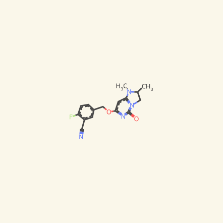 CC1Cn2c(cc(OCc3ccc(F)c(C#N)c3)nc2=O)N1C